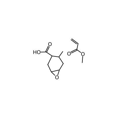 C=CC(=O)OC.CC1CC2OC2CC1C(=O)O